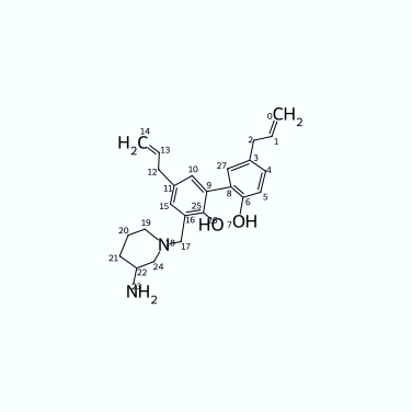 C=CCc1ccc(O)c(-c2cc(CC=C)cc(CN3CCCC(N)C3)c2O)c1